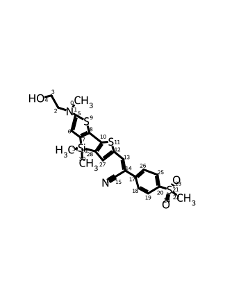 CN(CCO)c1cc2c(s1)-c1sc(/C=C(\C#N)c3ccc(S(C)(=O)=O)cc3)cc1[Si]2(C)C